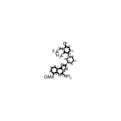 COc1cccc2c1nc(N)n1nc([C@@H]3CCCN(c4ccc(=O)n(CC(F)(F)F)c4C)C3)nc21